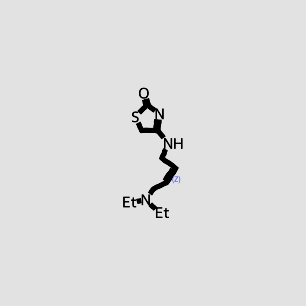 CCN(CC)C/C=C\CNC1=NC(=O)SC1